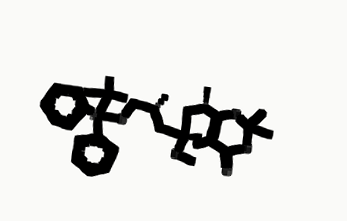 CO[C@](C)(C[C@@H](C)CO[Si](c1ccccc1)(c1ccccc1)C(C)(C)C)C[C@H](C)C1=C(C)C(=O)OC(C)(C)O1